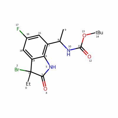 CCC1(Br)C(=O)Nc2c(C(C)NC(=O)OC(C)(C)C)cc(F)cc21